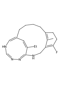 CCc1cc2c[nH]cnnc1NCC1=C(F)CCC(=C1C)CCCC2